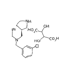 CC(C)CN(Cc1cccc(Cl)c1)C[C@H]1CCNC1.O=C(O)C(O)C(O)C(=O)O